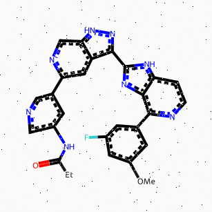 CCC(=O)Nc1cncc(-c2cc3c(-c4nc5c(-c6cc(F)cc(OC)c6)nccc5[nH]4)n[nH]c3cn2)c1